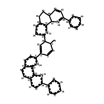 CC1C=CC(c2ccc3ccc4ccc(-c5ccccc5)nc4c3n2)=CC1c1ccc2c(n1)C1N=C(c3ccccc3)C=CC1CC2